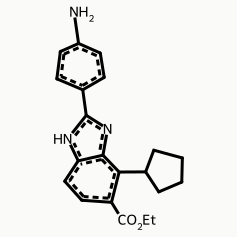 CCOC(=O)c1ccc2[nH]c(-c3ccc(N)cc3)nc2c1C1CCCC1